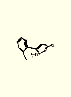 Cc1ccccc1-c1cc(Cl)n[nH]1